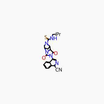 CC(C)CNC(=S)N1CC2CC1C1C(=O)N(c3cnc(C#N)c4ccccc34)C(=O)N21